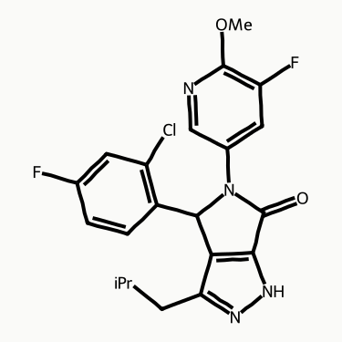 COc1ncc(N2C(=O)c3[nH]nc(CC(C)C)c3C2c2ccc(F)cc2Cl)cc1F